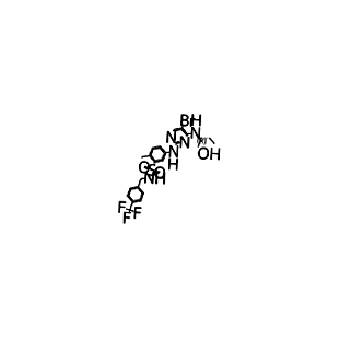 CC[C@H](CO)Nc1nc(Nc2ccc(C)c(S(=O)(=O)NCc3ccc(C(F)(F)F)cc3)c2)ncc1Br